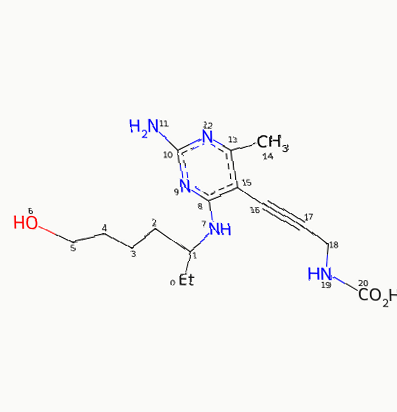 CCC(CCCCO)Nc1nc(N)nc(C)c1C#CCNC(=O)O